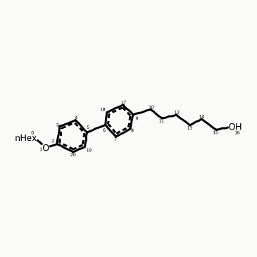 CCCCCCOc1ccc(-c2ccc(CCCCCCO)cc2)cc1